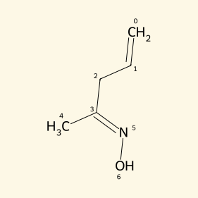 C=CCC(C)=NO